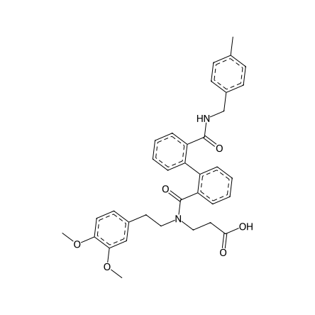 COc1ccc(CCN(CCC(=O)O)C(=O)c2ccccc2-c2ccccc2C(=O)NCc2ccc(C)cc2)cc1OC